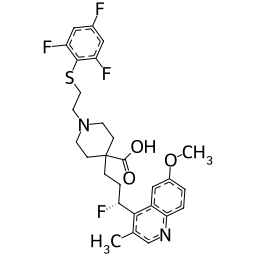 COc1ccc2ncc(C)c([C@H](F)CCC3(C(=O)O)CCN(CCSc4c(F)cc(F)cc4F)CC3)c2c1